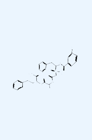 CC[C@H](NC(=O)CP(=O)(O)C(Cc1ccccc1)NC(=O)c1cccc(F)c1)C(=O)N[C@@H](CCc1ccccc1)C(N)=O